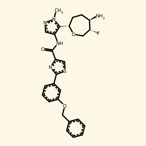 Cn1ncc(NC(=O)c2csc(-c3cccc(OCc4ccccc4)c3)n2)c1[C@@H]1CC[C@@H](N)[C@H](F)CO1